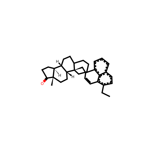 CCc1ccc2cccc3c2c1C=CC3C[C@]12CCCCC1CC[C@@H]1[C@H]2CC[C@]2(C)C(=O)CC[C@@H]12